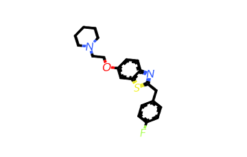 Fc1ccc(Cc2nc3ccc(OCCN4CCCCC4)cc3s2)cc1